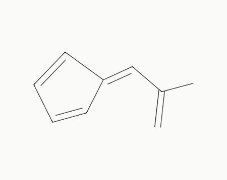 C=C(C)C=C1C=CC=C1